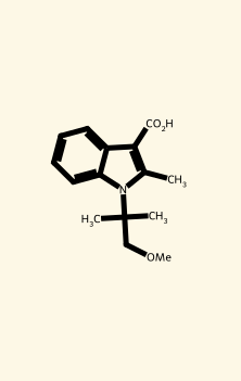 COCC(C)(C)n1c(C)c(C(=O)O)c2ccccc21